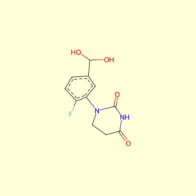 O=C1CCN(c2cc(C(O)O)ccc2F)C(=O)N1